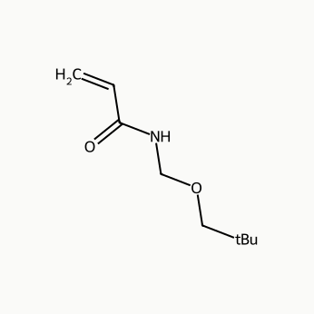 C=CC(=O)NCOCC(C)(C)C